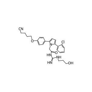 N#CCCCCOc1ccc(-c2ccc(-c3ccccc3Cl)n2CC(=O)NC(=N)NCCCO)cc1